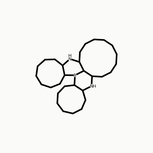 C1CCCCC2NC3CCCCCCCC3B3C4CCCCCCCC4NC(CCCC1)C32